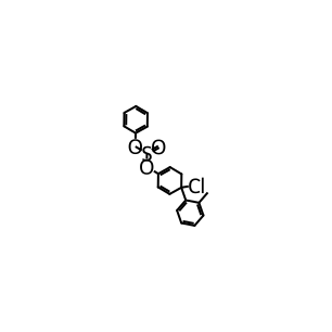 Cc1ccccc1C1(Cl)C=CC(OS(=O)Oc2ccccc2)=CC1